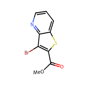 COC(=O)c1sc2cccnc2c1Br